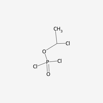 CC(Cl)OP(=O)(Cl)Cl